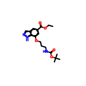 CCOC(=O)c1cc(OCCCNC(=O)OC(C)(C)C)c2[nH]ncc2c1